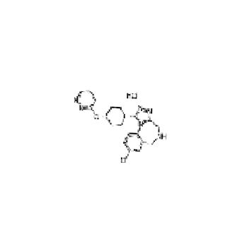 Cl.Clc1ccc2c(c1)CNCc1nnc([C@H]3CC[C@@H](Oc4cccnn4)CC3)n1-2